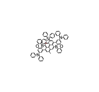 Cc1cc2c3c(cc4c([Si](c5ccccc5)(c5ccccc5)c5ccccc5)cc5c6c(cc1c3c46)B1c3ccccc3Oc3cc(N(c4ccccc4)c4ccccc4)cc-5c31)B1c3ccccc3Oc3cc(N(c4ccccc4)c4ccccc4)cc-2c31